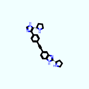 C(#Cc1ccc2[nH]c([C@@H]3CCCN3)nc2c1)c1ccc(-c2nc[nH]c2[C@@H]2CCCN2)cc1